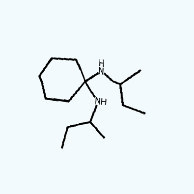 CCC(C)NC1(NC(C)CC)CCCCC1